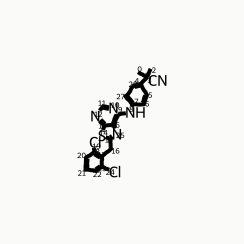 CC(C)(C#N)c1ccc(Nc2ncnc3sc(Cc4c(Cl)cccc4Cl)nc23)cc1